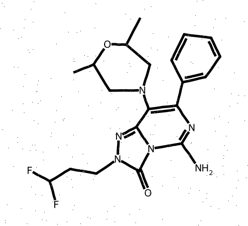 CC1CN(c2c(-c3ccccc3)nc(N)n3c(=O)n(CCC(F)F)nc23)CC(C)O1